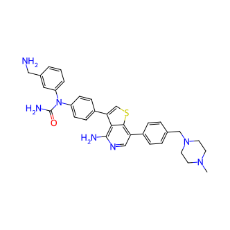 CN1CCN(Cc2ccc(-c3cnc(N)c4c(-c5ccc(N(C(N)=O)c6cccc(CN)c6)cc5)csc34)cc2)CC1